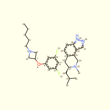 CCCCCN1CC(Oc2cc(F)c([C@@H]3c4ccc5[nH]ncc5c4CN(C)[C@H]3CC(C)C)c(F)c2)C1